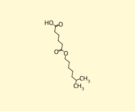 CC(C)CCCCCOC(=O)CCCCC(=O)O